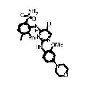 CCCc1c(C)ccc(S(N)(=O)=O)c1Nc1nc(Nc2ccc(N3CCOCC3)cc2OC)ncc1Cl